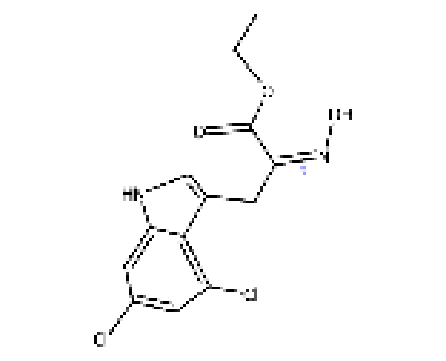 CCOC(=O)/C(Cc1c[nH]c2cc(Cl)cc(Cl)c12)=N\O